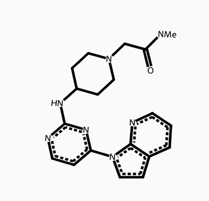 CNC(=O)CN1CCC(Nc2nccc(-n3ccc4cccnc43)n2)CC1